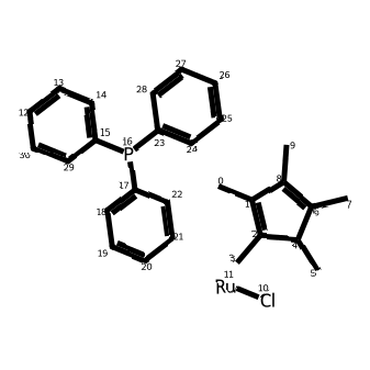 CC1=C(C)C(C)C(C)=C1C.[Cl][Ru].c1ccc(P(c2ccccc2)c2ccccc2)cc1